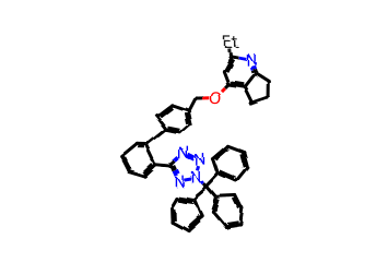 CCc1cc(OCc2ccc(-c3ccccc3-c3nnn(C(c4ccccc4)(c4ccccc4)c4ccccc4)n3)cc2)c2c(n1)CCC2